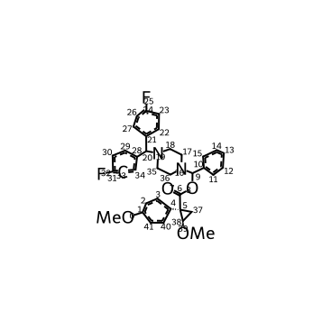 COc1ccc([C@]2(C(=O)OC(c3ccccc3)N3CCN(C(c4ccc(F)cc4)c4ccc(F)cc4)CC3)C[C@H]2OC)cc1